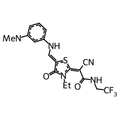 CCn1c(=C(C#N)C(=O)NCC(F)(F)F)sc(=CNc2cccc(NC)c2)c1=O